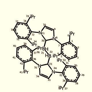 CC(C)c1cccc(C(C)C)c1N1C=CN(c2c(C(C)C)cccc2C(C)C)C1BBC1N(c2c(C(C)C)cccc2C(C)C)C=CN1c1c(C(C)C)cccc1C(C)C